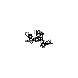 COc1cc(Cl)ccc1C(=O)N1CCC2(CCN(Cc3ccccc3OCC(C)C)C2)CC1.O=C(O)C(F)(F)F